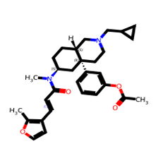 CC(=O)Oc1cccc([C@@]23CCN(CC4CC4)C[C@H]2CC[C@H](N(C)C(=O)/C=C/c2ccoc2C)C3)c1